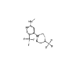 CNc1cc(N2CCC(C(F)(F)F)CC2)c(C(F)(F)F)cn1